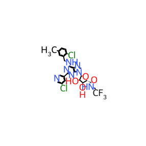 Cc1ccc(Cl)c(CNc2nc(-c3cncc(Cl)c3)nc3c2ncn3[C@@H]2O[C@H](C(=O)NCC(F)(F)F)[C@@H](O)[C@H]2O)c1